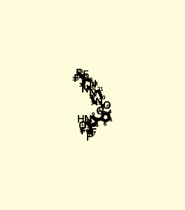 O=C(O[C@H]1CCCC1c1c[nH]c(=O)c(C(F)(F)F)c1)N1CCN(c2ncc(C(F)(F)F)cn2)CC1